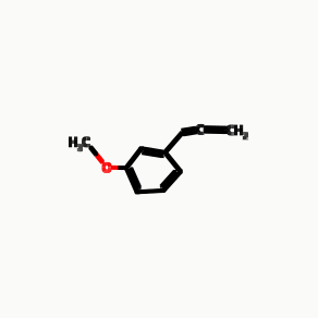 C=C=Cc1cccc(OC)c1